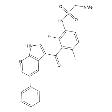 CNCS(=O)(=O)Nc1ccc(F)c(C(=O)c2c[nH]c3ncc(-c4ccccc4)cc23)c1F